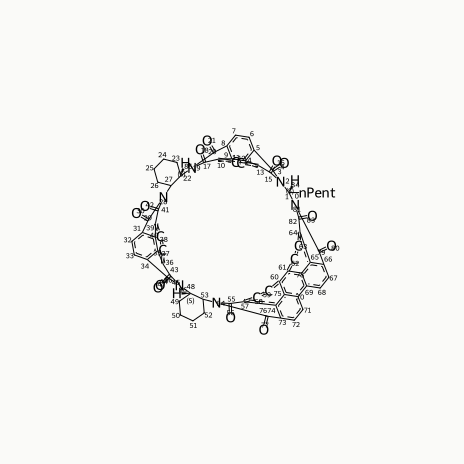 CCCCC[C@H]1N2C(=O)c3ccc4c5c(ccc(c35)C2=O)C(=O)N(C4=O)[C@H]2CCCCC2N2C(=O)c3ccc4c5c(ccc(c35)C2=O)C(=O)N(C4=O)[C@H]2CCCCC2N2C(=O)c3ccc4c5ccc6c7c(ccc(c8ccc(c3c48)C2=O)c75)C(=O)N1C6=O